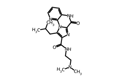 CC(C)Cc1c(C(=O)NCCN(C)C)nc2c(=O)[nH]c3cccnc3n12